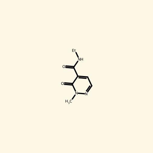 CCNC(=O)c1ccnn(C)c1=O